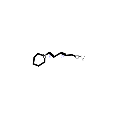 [CH2]C/C=C/C=C/N1CCCCC1